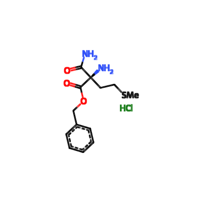 CSCC[C@@](N)(C(N)=O)C(=O)OCc1ccccc1.Cl